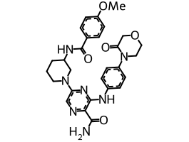 COc1ccc(C(=O)NC2CCCN(c3cnc(C(N)=O)c(Nc4ccc(N5CCOCC5=O)cc4)n3)C2)cc1